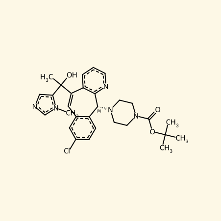 Cn1cncc1C(C)(O)C1=Cc2cc(Cl)ccc2[C@@H](N2CCN(C(=O)OC(C)(C)C)CC2)c2ncccc21